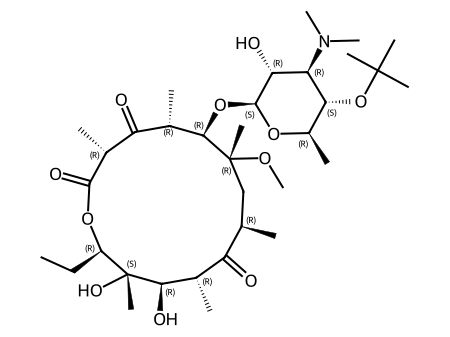 CC[C@H]1OC(=O)[C@H](C)C(=O)[C@H](C)[C@@H](O[C@@H]2O[C@H](C)[C@@H](OC(C)(C)C)[C@H](N(C)C)[C@H]2O)[C@](C)(OC)C[C@@H](C)C(=O)[C@H](C)[C@@H](O)[C@]1(C)O